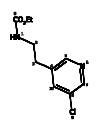 CCOC(=O)NCCc1cn[c]c(Cl)c1